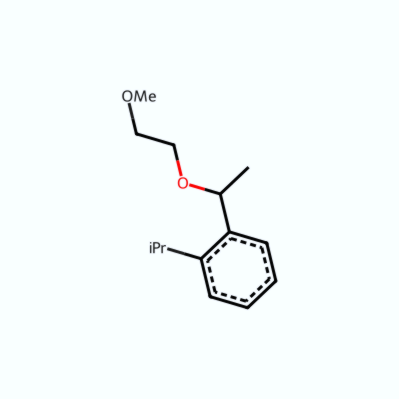 COCCOC(C)c1ccccc1C(C)C